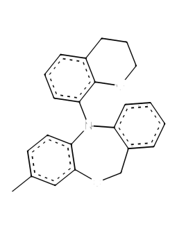 Cc1ccc2c(c1)OCc1ccccc1N2c1cccc2c1OCCC2